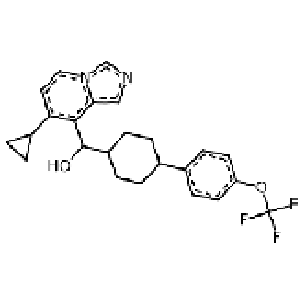 OC(c1c(C2CC2)ccn2cncc12)C1CCC(c2ccc(OC(F)(F)F)cc2)CC1